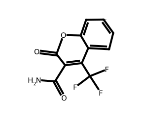 NC(=O)c1c(C(F)(F)F)c2cc[c]cc2oc1=O